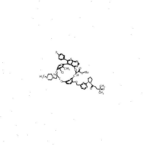 Cc1c2ccc(c1Cl)O[C@H](CN1CCN(C)CC1)COc1ccc(OCc3ccnc([C@H]4CCCN4C(=O)CCP(C)(C)=O)n3)c(c1)C[C@H](C(=O)OC(C)(C)C)Oc1ncnc3sc(-c4ccc(F)cc4)c-2c13